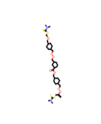 C=C(CSC(=S)N(C)C)OOCC1CCC(COC(=O)C2CCCC(COOCC3CCC(COCSC(=S)N(C)C)CC3)C2)CC1